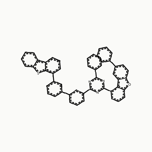 c1ccc(-c2ccc3oc4cccc(-c5nc(-c6ccccc6)nc(-c6cccc(-c7cccc(-c8cccc9c8sc8ccccc89)c7)c6)n5)c4c3c2)cc1